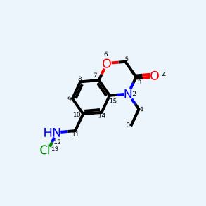 CCN1C(=O)COc2ccc(CNCl)cc21